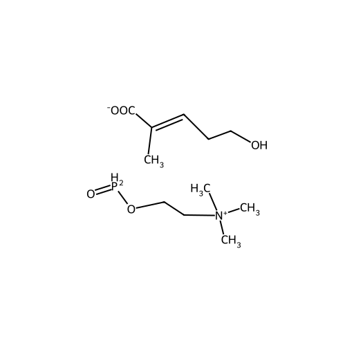 CC(=CCCO)C(=O)[O-].C[N+](C)(C)CCO[PH2]=O